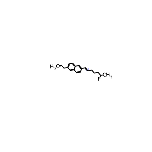 C=CCc1ccc2cc(/C=C/CCCC(C)F)ccc2c1